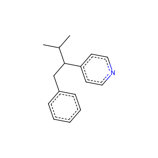 C[C](C)C(Cc1ccccc1)c1ccncc1